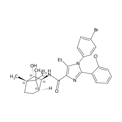 CCc1c(C(=O)N[C@H]2[C@H]3CC[C@](C)([C@@H]2O)C3(C)C)nc(-c2ccccc2Cl)n1-c1ccc(Br)cc1